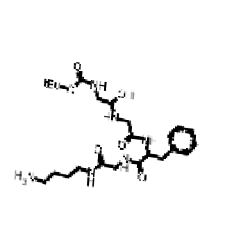 CC(C)(C)OC(=O)NCC(O)NCC(=O)NC(Cc1ccccc1)C(=O)NCC(=O)NCCCCN